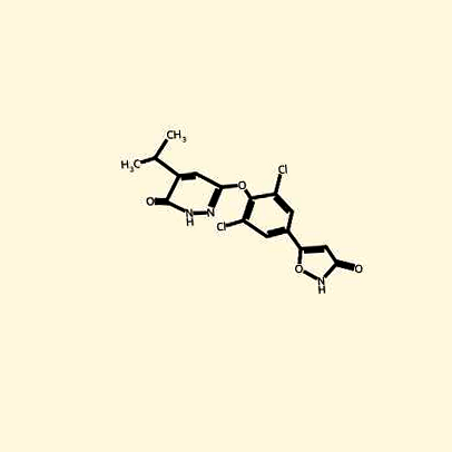 CC(C)c1cc(Oc2c(Cl)cc(-c3cc(=O)[nH]o3)cc2Cl)n[nH]c1=O